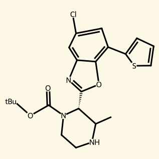 CC1NCCN(C(=O)OC(C)(C)C)[C@@H]1c1nc2cc(Cl)cc(-c3cccs3)c2o1